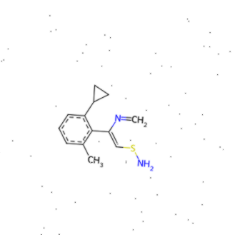 C=N/C(=C\SN)c1c(C)cccc1C1CC1